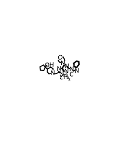 Cc1nc2ccccc2n1-c1nc(N2CCOCC2)c2nc(CN3CCC(C4(O)CCCC4)CC3)n(C)c2n1